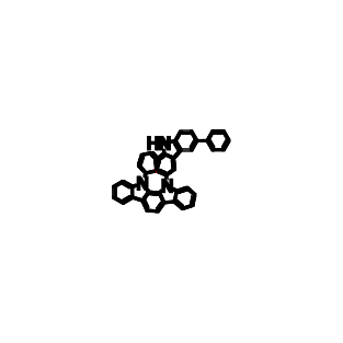 C1=CCC(n2c3ccccc3c3ccc4c5ccccc5n(-c5ccc6[nH]c7ccc(-c8ccccc8)cc7c6c5)c4c32)C=C1